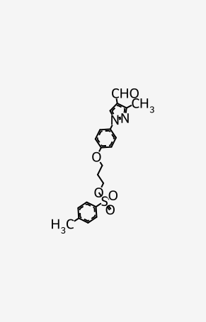 Cc1ccc(S(=O)(=O)OCCCOc2ccc(-n3cc(C=O)c(C)n3)cc2)cc1